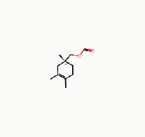 CC1=C(C)C[C@](C)(COC=O)CC1